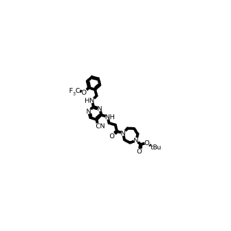 CC(C)(C)OC(=O)N1CCCN(C(=O)CCNc2nc(NCc3ccccc3OC(F)(F)F)ncc2C#N)CC1